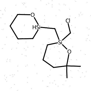 CC1(C)CCC[Si](CCl)(C[SiH]2CCCCO2)O1